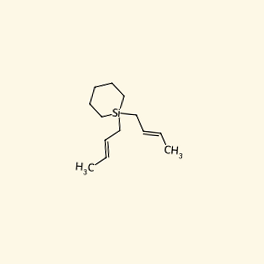 C/C=C/C[Si]1(C/C=C/C)CCCCC1